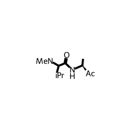 CNC(C(=O)N[C@@H](C)C(C)=O)C(C)C